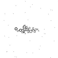 C=C(Cl)C(=O)N1CCCC(NC(=O)c2sc3nccc4c3c2NC(=O)N4c2ccc(Oc3ccccc3)cc2C)C1